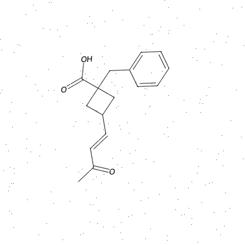 CC(=O)C=CC1CC(Cc2ccccc2)(C(=O)O)C1